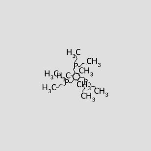 CCCCP(CCCC)Cc1c(C)c(CP(CCCC)CCCC)c(C)c(CP(CCCC)CCCC)c1C